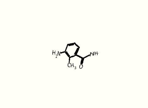 Cc1c(N)cccc1C([NH])=O